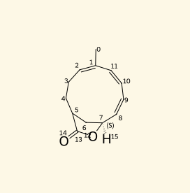 CC1=CCCC2C[C@@H](C=CC=C1)OC2=O